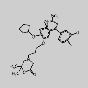 CC1(C)CN(CCCOc2cc3c(-c4ccc(F)c(Cl)c4)nc(N)nc3cc2OC2CCCC2)CC(=O)O1